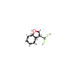 FC(F)c1coc2ccccc12